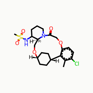 Cc1c(Cl)ccc2c1[C@H]1CC[C@H](CC1)OC[C@H]1C(NS(C)(=O)=O)CCCN1C(=O)CO2